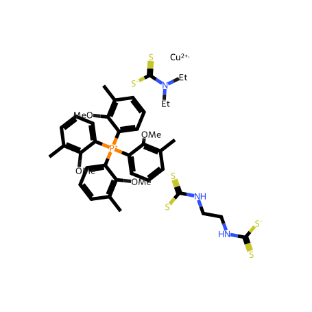 CCN(CC)C(=S)[S-].COc1c(C)cccc1[P+](c1cccc(C)c1OC)(c1cccc(C)c1OC)c1cccc(C)c1OC.S=C([S-])NCCNC(=S)[S-].[Cu+2]